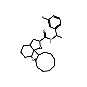 CC1CCCC2CC(C(=O)NC(c3cccc(F)c3)C(F)(F)F)NC12C1CCCCCCCC1